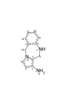 Nc1ccn2c1CNc1ccccc1C2